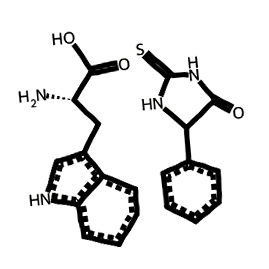 N[C@@H](Cc1c[nH]c2ccccc12)C(=O)O.O=C1NC(=S)NC1c1ccccc1